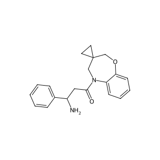 NC(CC(=O)N1CC2(CC2)COc2ccccc21)c1ccccc1